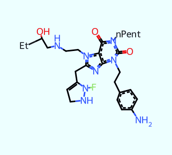 CCCCCn1c(=O)c2c(nc(CC3=CCNN3F)n2CCNCC(O)CC)n(CCc2ccc(N)cc2)c1=O